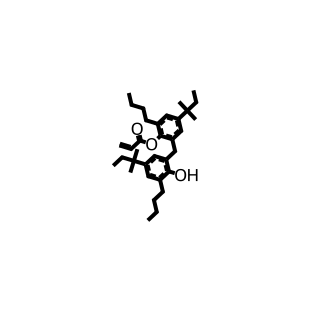 C=CC(=O)Oc1c(CCCC)cc(C(C)(C)CC)cc1Cc1cc(C(C)(C)CC)cc(CCCC)c1O